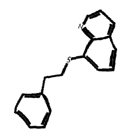 c1ccc(CCSc2cccc3cccnc23)cc1